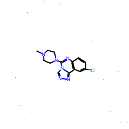 CN1CCN(c2nc3ccc(Cl)cc3c3nncn23)CC1